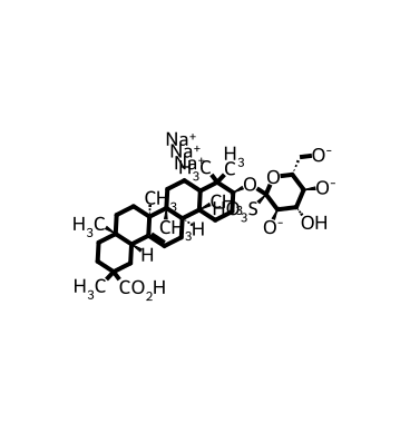 CC1(C(=O)O)CC[C@]2(C)CC[C@]3(C)C(=CC[C@@H]4[C@@]5(C)CC[C@H](O[C@]6(S(=O)(=O)O)O[C@H](C[O-])[C@@H]([O-])[C@H](O)[C@H]6[O-])C(C)(C)C5CC[C@]43C)[C@@H]2C1.[Na+].[Na+].[Na+]